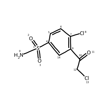 NS(=O)(=O)c1ccc(Cl)c(C(=O)CCl)c1